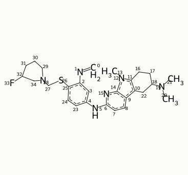 C=Nc1cc(Nc2ccc3c4c(n(C)c3n2)CCC(N(C)C)C4)ccc1SCN1CCCC(F)C1